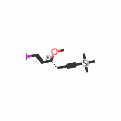 CO[C@@H](/C=C/I)CC#C[Si](C)(C)C